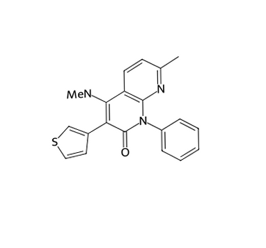 CNc1c(-c2ccsc2)c(=O)n(-c2ccccc2)c2nc(C)ccc12